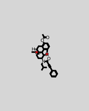 CC(=O)Oc1ccc2c3c1C[C@@H]1[C@@H]4CC[C@H](N(CC(C)C)C(=O)C#Cc5ccccc5)[C@H](O2)[C@]34CCN1C